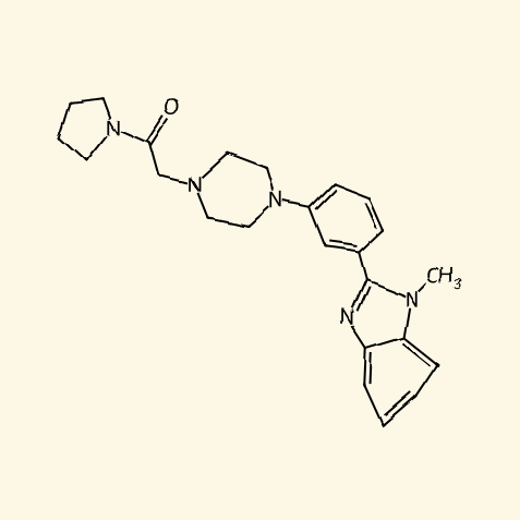 Cn1c(-c2cccc(N3CCN(CC(=O)N4CCCC4)CC3)c2)nc2ccccc21